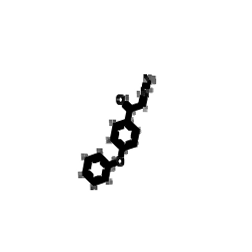 [N-]=[N+]=CC(=O)c1ccc(Oc2ccccc2)cc1